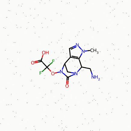 Cn1ncc2c1C(CN)N1CC2N(OC(F)(F)C(=O)O)C1=O